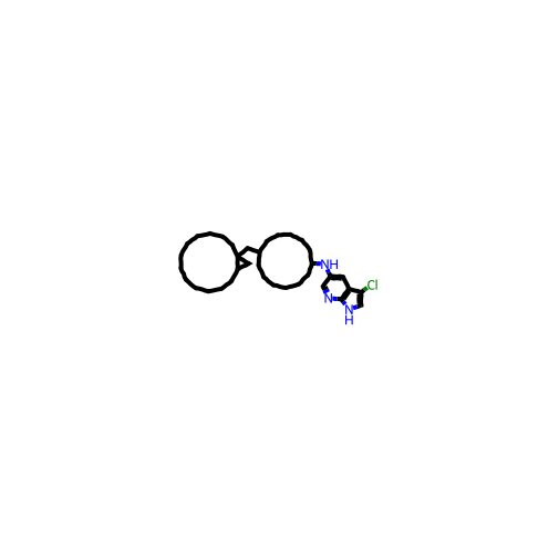 Clc1c[nH]c2ncc(NC3CCCCCCC(CC45CCCCCCCCCCCCC4C5)CCCCC3)cc12